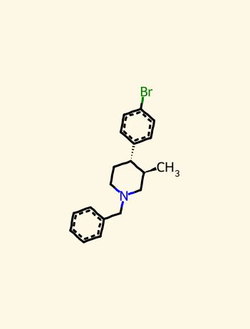 C[C@H]1CN(Cc2ccccc2)CC[C@@H]1c1ccc(Br)cc1